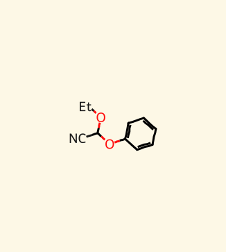 CCOC(C#N)Oc1ccccc1